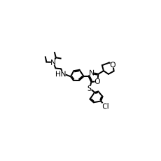 CCN(CCNc1ccc(-c2nc(C3CCOCC3)oc2Sc2ccc(Cl)cc2)cc1)C(C)C